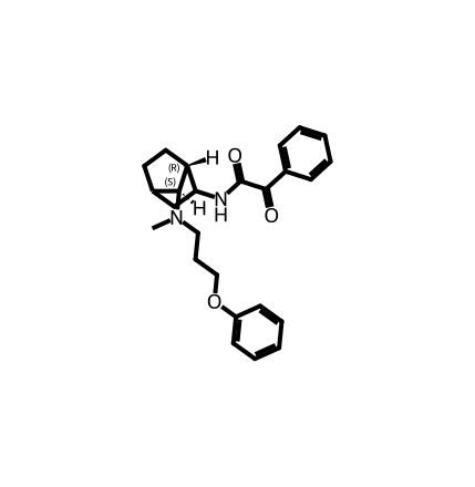 CN(CCCOc1ccccc1)[C@H]1C2CC[C@@H]1C(NC(=O)C(=O)c1ccccc1)C2